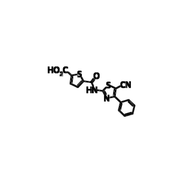 N#Cc1sc(NC(=O)c2ccc(C(=O)O)s2)nc1-c1ccccc1